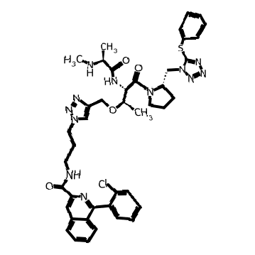 CN[C@@H](C)C(=O)N[C@H](C(=O)N1CCC[C@H]1Cn1nnnc1Sc1ccccc1)[C@@H](C)OCc1cn(CCCNC(=O)c2cc3ccccc3c(-c3ccccc3Cl)n2)nn1